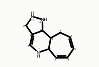 C1=CCC2C(C=C1)NC=C1CNNC12